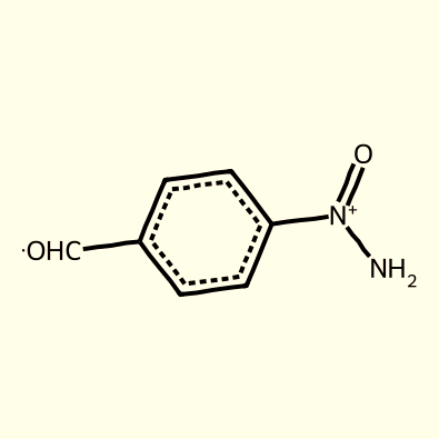 N[N+](=O)c1ccc([C]=O)cc1